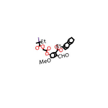 CCC(C)(I)C(=O)OCC(=O)OC1C2CC(C(C=O)C2C(=O)OC2(CC)CC3CC2C2C4CCC(C4)C32)C1OC